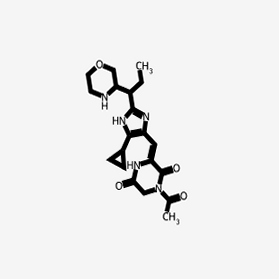 CCC(c1nc(/C=C2\NC(=O)CN(C(C)=O)C2=O)c(C2CC2)[nH]1)C1COCCN1